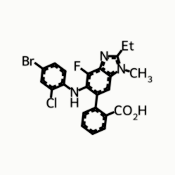 CCc1nc2c(F)c(Nc3ccc(Br)cc3Cl)c(-c3ccccc3C(=O)O)cc2n1C